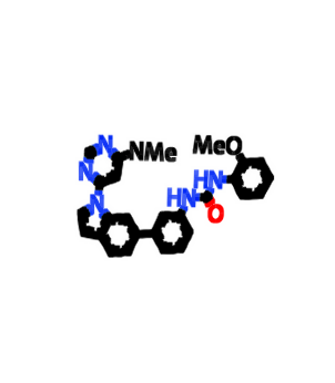 CNc1cc(-n2ccc3ccc(-c4cccc(NC(=O)Nc5ccccc5OC)c4)cc32)ncn1